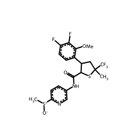 COc1c(C2CC(C)(C(F)(F)F)SC2C(=O)Nc2ccc([S+](C)[O-])nc2)ccc(F)c1F